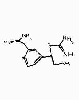 N=C(N)SC(CS)c1cccc(C(=N)N)c1